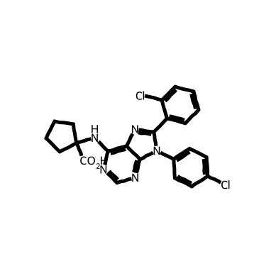 O=C(O)C1(Nc2ncnc3c2nc(-c2ccccc2Cl)n3-c2ccc(Cl)cc2)CCCC1